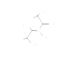 [CH2]N(C(O)C(C)C)C(O)C(C)C